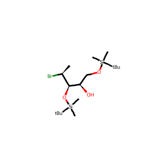 C[C@H](Br)[C@H](O[Si](C)(C)C(C)(C)C)[C@H](O)CO[Si](C)(C)C(C)(C)C